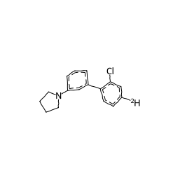 [2H]c1ccc(-c2cccc(N3CCCC3)c2)c(Cl)c1